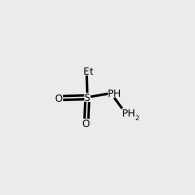 CCS(=O)(=O)PP